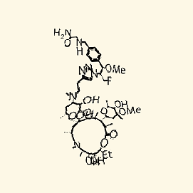 CC[C@H]1OC(=O)[C@H](C)[C@@H](C2C[C@@](C)(OC)[C@@H](O)[C@H](C)O2)[C@H](C)[C@@H](O[C@@H]2O[C@H](C)C[C@H](N(C)CCc3cn([C@H](CF)[C@H](OC)c4ccc(CNCC(N)=O)cc4)nn3)[C@H]2O)[C@](C)(O)C[C@@H](C)CN(C)[C@H](C)[C@@H](O)[C@]1(C)O